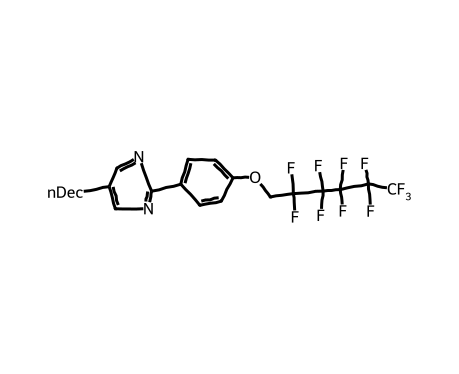 CCCCCCCCCCc1cnc(-c2ccc(OCC(F)(F)C(F)(F)C(F)(F)C(F)(F)C(F)(F)F)cc2)nc1